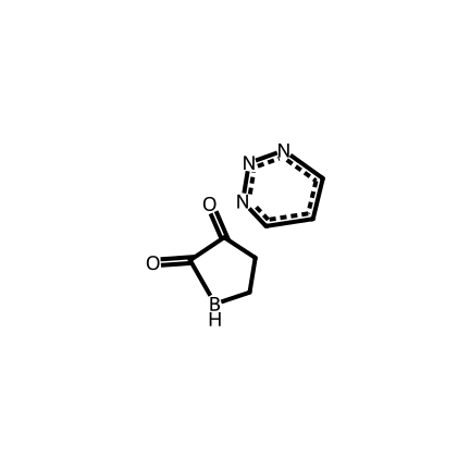 O=C1BCCC1=O.c1cnnnc1